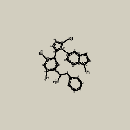 CC(Cc1ccccc1)c1cc(-c2nnc(O)n2-c2ccc3c(ccn3C)c2)c(O)cc1O